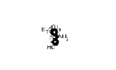 CC1(C)CCc2c(nc3cc(O)ccc3c2N)C1